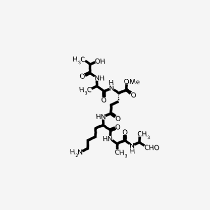 COC(=O)[C@H](CCC(=O)NC(CCCCN)C(=O)NC(C)C(=O)NC(C)C=O)NC(=O)C(C)NC(=O)C(C)O